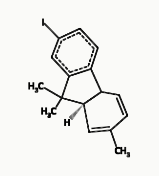 CC1=C[C@@H]2C(C=C1)c1ccc(I)cc1C2(C)C